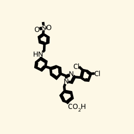 CS(=O)(=O)c1ccc(CNc2cccc(-c3ccc(-c4nc(-c5ccc(Cl)cc5Cl)cn4Cc4ccc(C(=O)O)cc4)cc3)c2)cc1